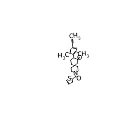 CC#Cc1cc(C)c(C2CCC3(CCN(C(=O)c4cccs4)CC3)CC2=O)c(C)c1